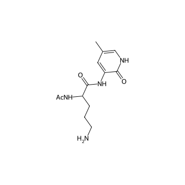 CC(=O)NC(CCCN)C(=O)Nc1cc(C)c[nH]c1=O